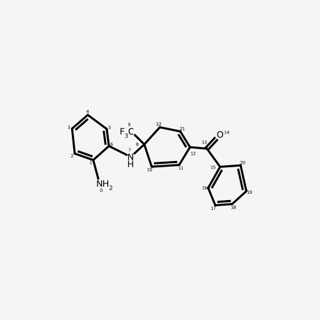 Nc1ccccc1NC1(C(F)(F)F)C=CC(C(=O)c2ccccc2)=CC1